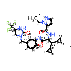 CCn1nccc1C(=O)N[C@H](c1nc2cc(CN3C[C@@H](C(F)(F)F)NC3=O)ccc2o1)C(C1CC1)C1CC1